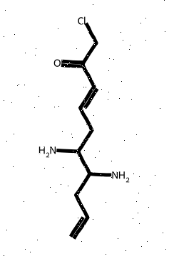 C=CCC(N)C(N)C/C=C/C(=O)CCl